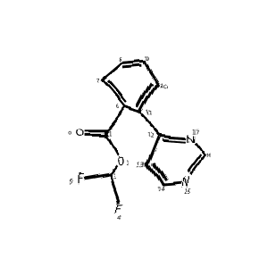 O=C(OC(F)F)c1ccccc1-c1ccncn1